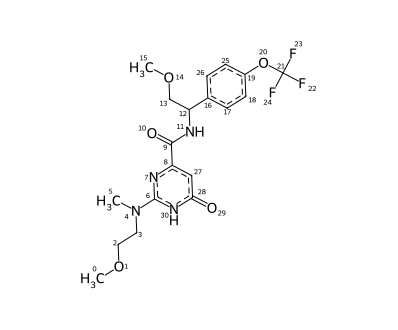 COCCN(C)c1nc(C(=O)NC(COC)c2ccc(OC(F)(F)F)cc2)cc(=O)[nH]1